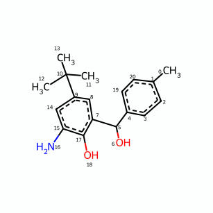 Cc1ccc(C(O)c2cc(C(C)(C)C)cc(N)c2O)cc1